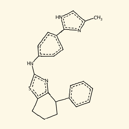 Cc1c[nH]c(-c2ccc(Nc3nc4c(s3)CCCC4c3ccccc3)cc2)n1